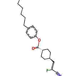 CCCCCCc1ccc(OC(=O)[C@H]2CC[C@H](C=C(F)C#N)CC2)cc1